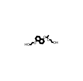 CC(OCCO)Oc1cccc2c(OCCO)cccc12